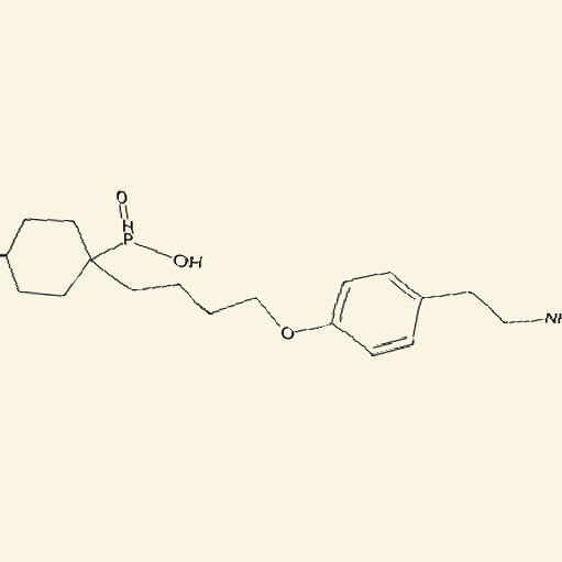 NCCc1ccc(OCCCCC2([PH](=O)O)CCCCC2)cc1